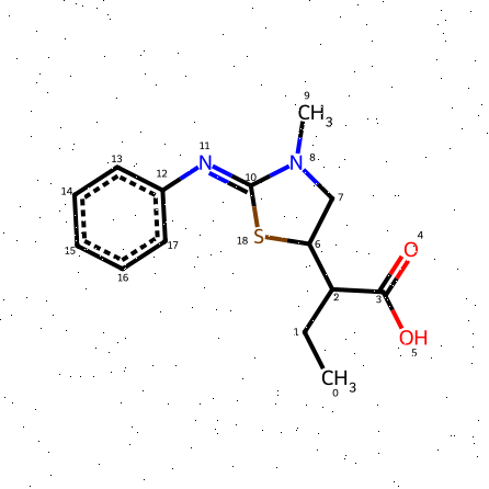 CCC(C(=O)O)C1CN(C)C(=Nc2ccccc2)S1